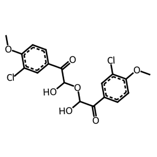 COc1ccc(C(=O)C(O)OC(O)C(=O)c2ccc(OC)c(Cl)c2)cc1Cl